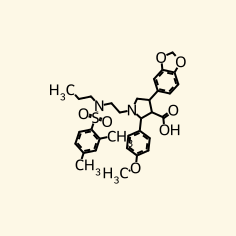 CCCN(CCN1CC(c2ccc3c(c2)OCO3)C(C(=O)O)C1c1ccc(OC)cc1)S(=O)(=O)c1ccc(C)cc1C